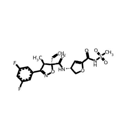 C=C[C@]1(C(=O)N[C@@H]2C=C(C(=O)NS(C)(=O)=O)OC2)ON=C(c2cc(F)cc(F)c2)C1C